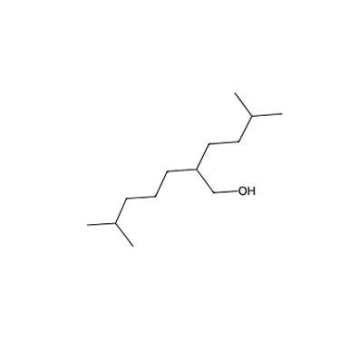 CC(C)CCCC(CO)CCC(C)C